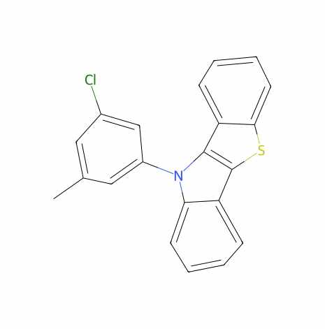 Cc1cc(Cl)cc(-n2c3ccccc3c3sc4ccccc4c32)c1